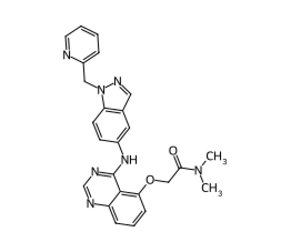 CN(C)C(=O)COc1cccc2ncnc(Nc3ccc4c(cnn4Cc4ccccn4)c3)c12